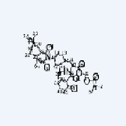 C=C(C)C(=O)OCOC(=O)[C@H](Cc1ccc(-n2c(=O)c3cc(N(C)C)ccc3n(C)c2=O)cc1)NC(=O)c1c(F)cccc1Cl